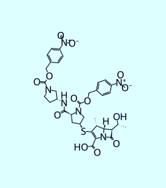 C[C@@H](O)[C@H]1C(=O)N2C(C(=O)O)=C(S[C@H]3C[C@@H](C(=O)N[C@@H]4CCN(C(=O)OCc5ccc([N+](=O)[O-])cc5)C4)N(C(=O)OCc4ccc([N+](=O)[O-])cc4)C3)[C@H](C)[C@H]12